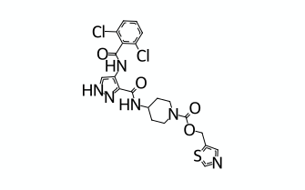 O=C(NC1CCN(C(=O)OCc2cncs2)CC1)c1n[nH]cc1NC(=O)c1c(Cl)cccc1Cl